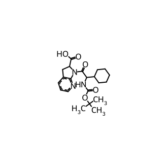 CC(C)(C)OC(=O)NC(C(=O)N1c2ncccc2CC1C(=O)O)C1CCCCC1